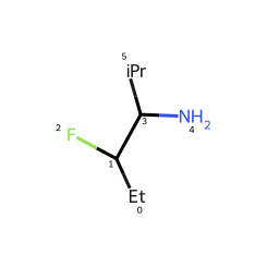 CCC(F)C(N)C(C)C